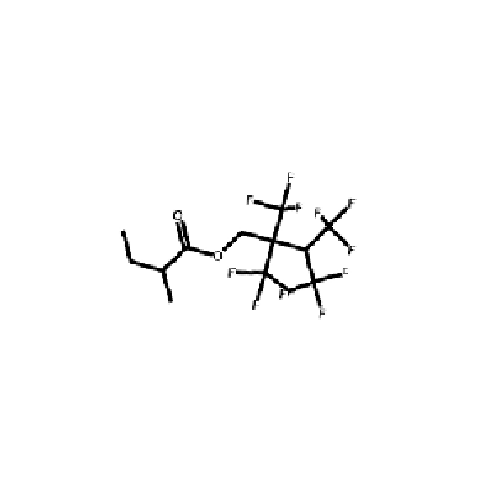 CCC(C)C(=O)OCC(C(C(F)(F)F)C(F)(F)F)(C(F)(F)F)C(F)(F)F